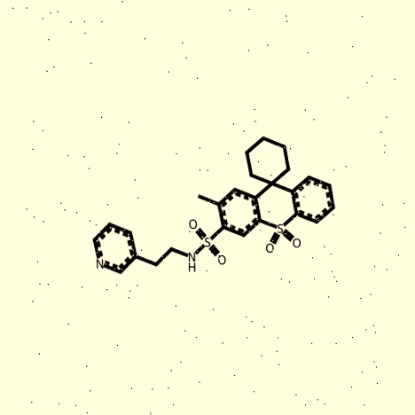 Cc1cc2c(cc1S(=O)(=O)NCCc1cccnc1)S(=O)(=O)c1ccccc1C21CCCCC1